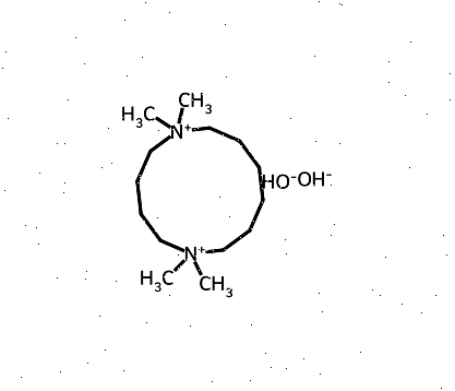 C[N+]1(C)CCCCCC[N+](C)(C)CCCC1.[OH-].[OH-]